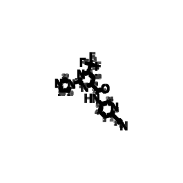 N#Cc1ccc(NC(=O)c2cc(C(F)(F)F)nc(-n3ccnc3)n2)cn1